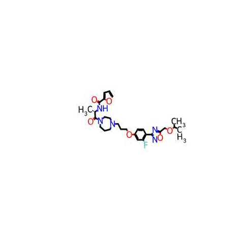 CC(C)OCc1nc(-c2ccc(OCCCN3CCCN(C(=O)[C@H](C)NC(=O)c4ccco4)CC3)cc2F)no1